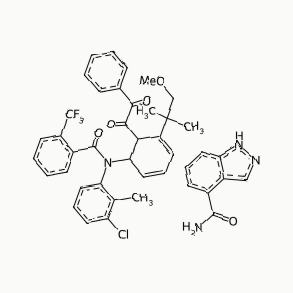 COCC(C)(C)C1=CC=CC(N(C(=O)c2ccccc2C(F)(F)F)c2cccc(Cl)c2C)C1C(=O)C(=O)c1ccccc1.NC(=O)c1cccc2[nH]ncc12